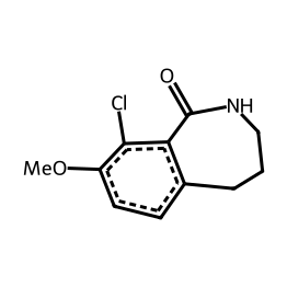 COc1ccc2c(c1Cl)C(=O)NCCC2